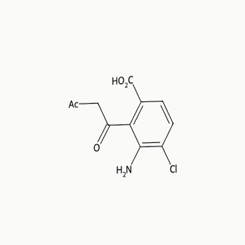 CC(=O)CC(=O)c1c(C(=O)O)ccc(Cl)c1N